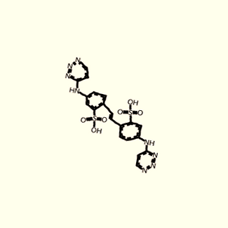 O=S(=O)(O)c1cc(Nc2ccnnn2)ccc1C=Cc1ccc(Nc2ccnnn2)cc1S(=O)(=O)O